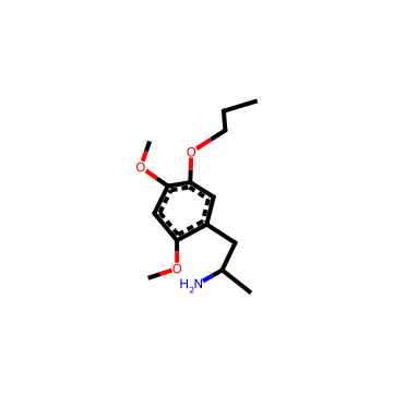 CCCOc1cc(CC(C)N)c(OC)cc1OC